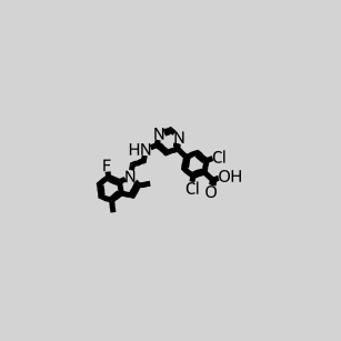 Cc1ccc(F)c2c1cc(C)n2CCNc1cc(-c2cc(Cl)c(C(=O)O)c(Cl)c2)ncn1